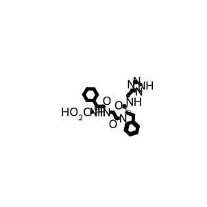 O=C(O)N[C@H](C(=O)NCC(=O)N1c2ccccc2C[C@H]1C(=O)NCc1nn[nH]n1)C1CCCCC1